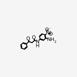 Nc1cc(NC(=O)CC(=O)c2ccccc2)ccc1[N+](=O)[O-]